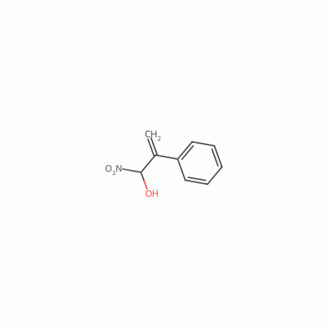 C=C(c1ccccc1)C(O)[N+](=O)[O-]